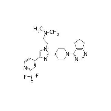 CN(C)CCn1cc(-c2ccnc(C(F)(F)F)c2)nc1C1CCN(c2ncnc3c2CCC3)CC1